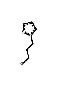 ClCCCn1cccn1